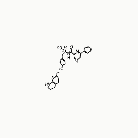 O=C(NC(Cc1ccc(OCCCc2ccc3c(n2)NCCC3)cc1)C(=O)O)c1cncc(-c2ccccc2)n1